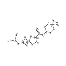 O=C(OC1CCC2(CC1)CO2)N1CCC2(CN(CC(F)F)C2)C1